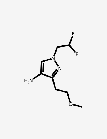 COCCc1nn(CC(F)F)cc1N